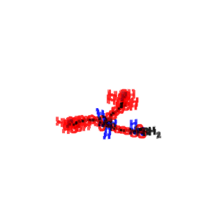 BC1CC(=O)N(CCC(=O)NCCOCCOCCOCCOCCNC(=O)CC(C(=O)NCCOCCOCCOCCOC2OC3(O)C(COP(=O)(O)O)C(O)C(O)C23)C(=O)NCCOCCOCCOCCOC2OC3(O)C(COP(=O)(O)O)C(O)C(O)C23)C1=O